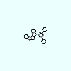 C/C=C\C(=C/C)c1nc(C2=CC=CCC2)cc(C2c3ccccc3-c3c2ccc2sc4ccccc4c32)n1